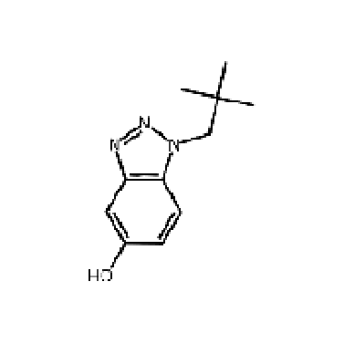 CC(C)(C)Cn1nnc2cc(O)ccc21